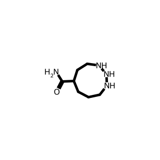 NC(=O)C1CCCNNNCC1